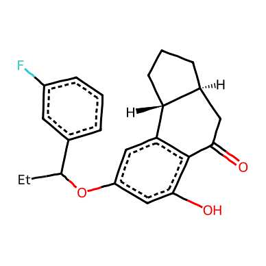 CCC(Oc1cc(O)c2c(c1)[C@@H]1CCC[C@H]1CC2=O)c1cccc(F)c1